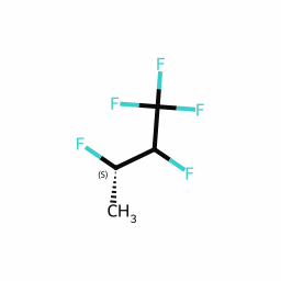 C[C@H](F)C(F)C(F)(F)F